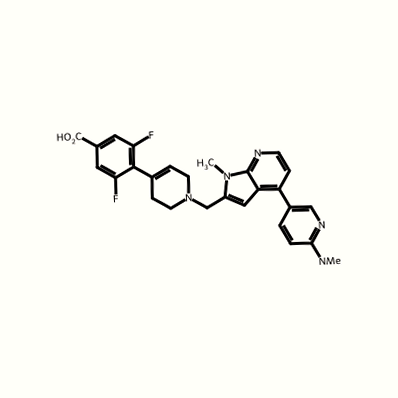 CNc1ccc(-c2ccnc3c2cc(CN2CC=C(c4c(F)cc(C(=O)O)cc4F)CC2)n3C)cn1